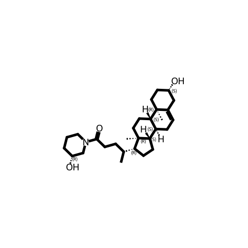 CC(CCC(=O)N1CCC[C@@H](O)C1)[C@H]1CC[C@H]2[C@@H]3CC=C4C[C@@H](O)CC[C@]4(C)[C@H]3CC[C@]12C